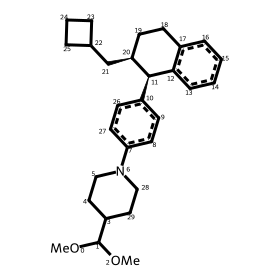 COC(OC)C1CCN(c2ccc([C@@H]3c4ccccc4CC[C@@H]3CC3CCC3)cc2)CC1